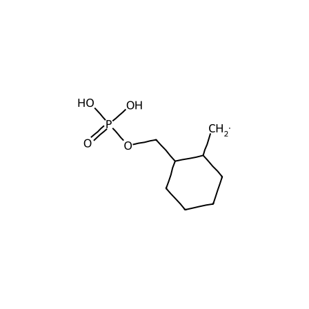 [CH2]C1CCCCC1COP(=O)(O)O